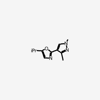 Cc1nn(C)cc1-c1ncc(C(C)C)o1